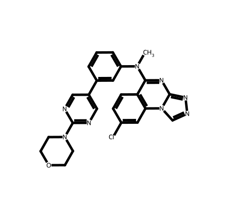 CN(c1cccc(-c2cnc(N3CCOCC3)nc2)c1)c1nc2nncn2c2cc(Cl)ccc12